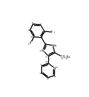 CCOC(=O)c1[nH]c(-c2c(F)cccc2F)nc1-c1ccccn1